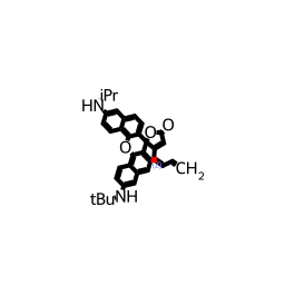 C=C/C=C\C1=CC(=O)OC12c1ccc3cc(NC(C)C)ccc3c1Oc1c2ccc2cc(NC(C)(C)C)ccc12